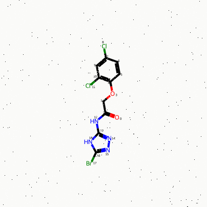 O=C(COc1ccc(Cl)cc1Cl)Nc1nnc(Br)[nH]1